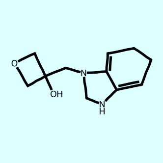 OC1(CN2CNC3=CCCC=C32)COC1